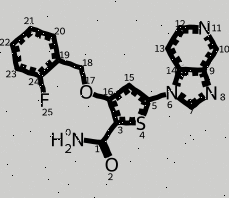 NC(=O)c1sc(-n2cnc3cnccc32)cc1OCc1ccccc1F